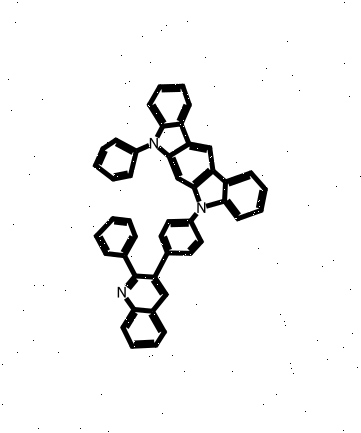 c1ccc(-c2nc3ccccc3cc2-c2ccc(-n3c4ccccc4c4cc5c6ccccc6n(-c6ccccc6)c5cc43)cc2)cc1